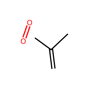 C=C(C)C.O=O